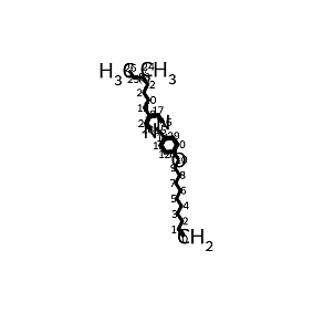 C=CCCCCCCCCOc1ccc(-c2ncc(CCCC[C@@H](C)CC)cn2)cc1